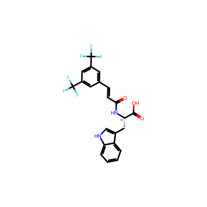 O=C(C=Cc1cc(C(F)(F)F)cc(C(F)(F)F)c1)N[C@@H](Cc1c[nH]c2ccccc12)C(=O)O